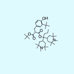 CCCC(OC(=O)C(Cc1ccc(O)c(C(C)(C)C)c1)C(=O)OC(C)(C)C)(C1CC(C)(C)N(C)C(C)(C)C1)C1CC(C)(C)N(C)C(C)(C)C1